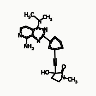 CN1CCC(O)(C#Cc2cccc(-c3nc(N(C)C)c4ccnc(N)c4n3)c2)C1=O